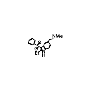 CCc1[nH]c2ccc(CCNC)cc2c1S(=O)(=O)c1ccccc1